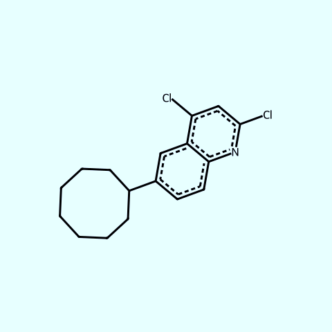 Clc1cc(Cl)c2cc(C3CCCCCCC3)ccc2n1